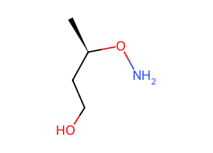 C[C@H](CCO)ON